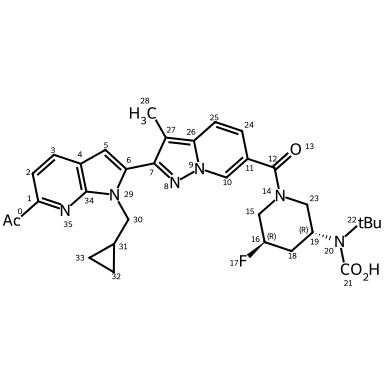 CC(=O)c1ccc2cc(-c3nn4cc(C(=O)N5C[C@H](F)C[C@@H](N(C(=O)O)C(C)(C)C)C5)ccc4c3C)n(CC3CC3)c2n1